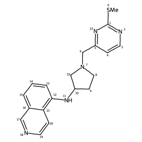 CSc1nccc(CN2CCC(Nc3cccc4cnccc34)C2)n1